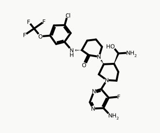 Nc1ncnc(N2CC[C@H](C(N)O)[C@@H](N3CCC[C@@H](Nc4cc(Cl)cc(OC(F)(F)F)c4)C3=O)C2)c1F